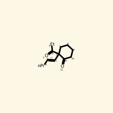 CCC/C=C/C1(C(=O)CC)CCCCC1=O